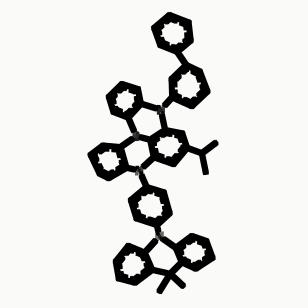 CC(C)c1cc2c3c(c1)N(c1cccc(-c4ccccc4)c1)c1ccccc1B3c1ccccc1N2c1ccc(N2c3ccccc3C(C)(C)c3ccccc32)cc1